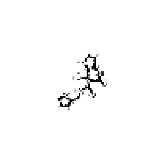 O=C(NCc1ccco1)c1c(O)c2sccc2[nH]c1=O